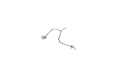 BCC(C)CN=O